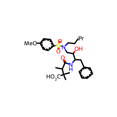 COc1ccc(S(=O)(=O)N(CCC(C)C)CC(O)C(Cc2ccccc2)NC(=O)C(C)C(C)(C)C(=O)O)cc1